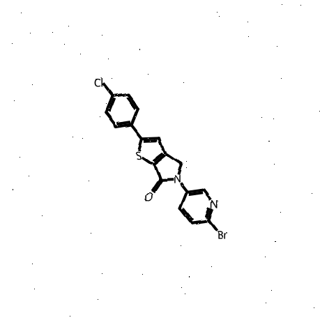 O=C1c2sc(-c3ccc(Cl)cc3)cc2CN1c1ccc(Br)nc1